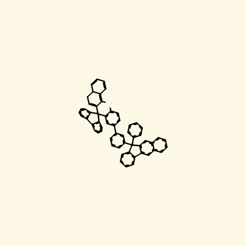 C1=CC2=C3Oc4ccc(-c5cccc(C6(c7ccccc7)c7ccccc7-c7cc8ccccc8cc76)c5)cc4C4(C3=CCC2C=C1)c1ccccc1-c1ccccc14